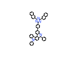 c1ccc(-c2nc3cc(-c4ccc(-c5nc(-c6ccc7ccccc7c6)nc(-c6ccc7ccccc7c6)n5)cc4)ccc3c3c2ccc2c3c3ccccc3n2-c2ccccc2)cc1